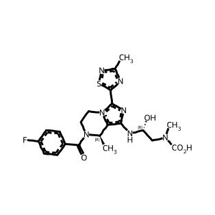 Cc1nsc(-c2nc(N[C@H](O)CN(C)C(=O)O)c3n2CCN(C(=O)c2ccc(F)cc2)[C@@H]3C)n1